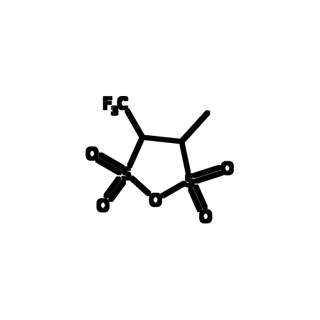 CC1C(C(F)(F)F)S(=O)(=O)OS1(=O)=O